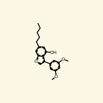 CCCCCc1cc(O)c2c(-c3cc(OC)cc(OC)c3)coc2c1